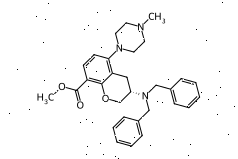 COC(=O)c1ccc(N2CCN(C)CC2)c2c1OC[C@@H](N(Cc1ccccc1)Cc1ccccc1)C2